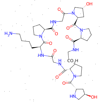 NCCCC[C@H](NC(=O)CNC(=O)[C@@H]1CCCN1C(=O)[C@@H]1C[C@@H](O)CN1)C(=O)N1CCC[C@H]1C(=O)NCC(=O)N1C[C@H](O)C[C@H]1C(=O)N1CCC[C@H]1C(=O)NCC(=O)O